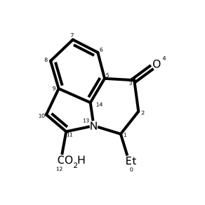 CCC1CC(=O)c2cccc3cc(C(=O)O)n1c23